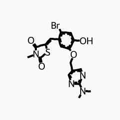 CN1C(=O)S/C(=C\c2cc(OCc3cnc(N(C)C)nc3)c(O)cc2Br)C1=O